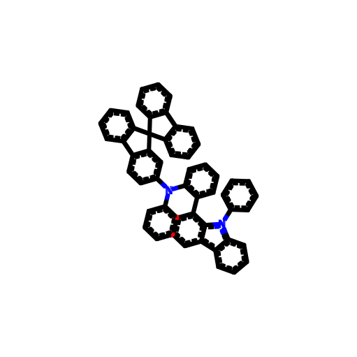 c1ccc(N(c2ccc3c(c2)C2(c4ccccc4-c4ccccc42)c2ccccc2-3)c2ccccc2-c2cccc3c4ccccc4n(-c4ccccc4)c23)cc1